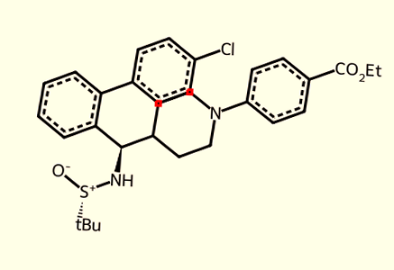 CCOC(=O)c1ccc(N2CCC([C@@H](N[S@@+]([O-])C(C)(C)C)c3ccccc3-c3ccc(Cl)cc3)CC2)cc1